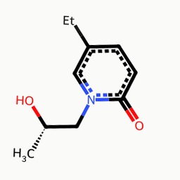 CCc1ccc(=O)n(C[C@H](C)O)c1